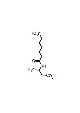 CC(CC(=O)O)NC(=O)CCCCCC(=O)O